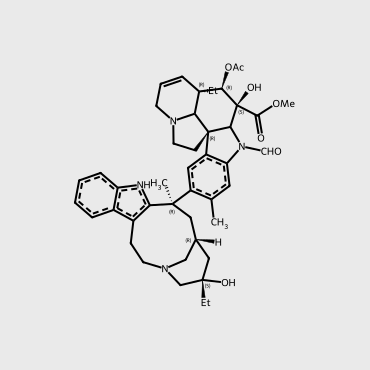 CC[C@]1(O)C[C@@H]2CN(CCc3c([nH]c4ccccc34)[C@@](C)(c3cc4c(cc3C)N(C=O)C3[C@]45CCN4CC=C[C@](CC)(C45)[C@@H](OC(C)=O)[C@]3(O)C(=O)OC)C2)C1